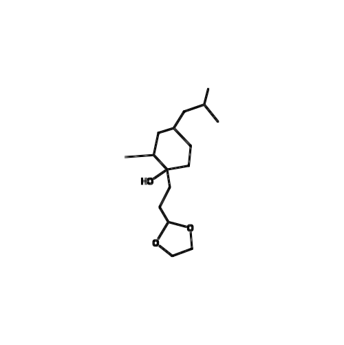 CC(C)CC1CCC(O)(CCC2OCCO2)C(C)C1